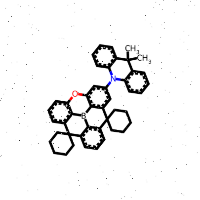 CC1(C)c2ccccc2N(c2cc3c4c(c2)C2(CCCCC2)c2cccc5c2B4c2c(cccc2C52CCCCC2)O3)c2ccccc21